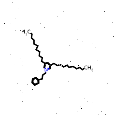 CCCCCCCCCCCc1cc(CCCCCCCCCCC)c[n+](CCCc2ccccc2)c1